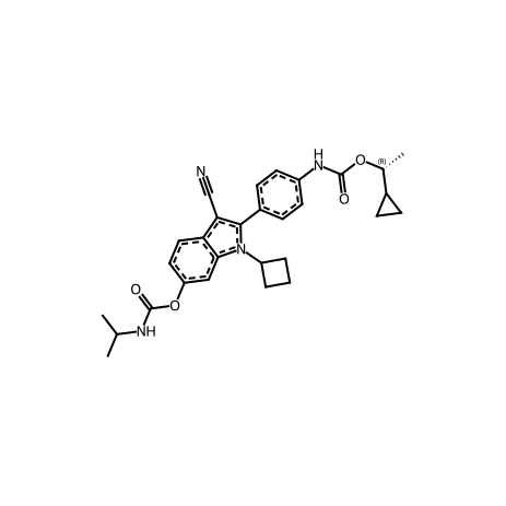 CC(C)NC(=O)Oc1ccc2c(C#N)c(-c3ccc(NC(=O)O[C@H](C)C4CC4)cc3)n(C3CCC3)c2c1